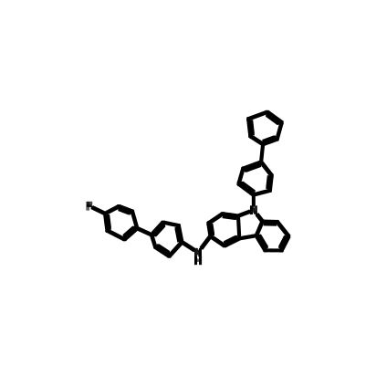 Fc1ccc(-c2ccc(Nc3ccc4c(c3)c3ccccc3n4-c3ccc(-c4ccccc4)cc3)cc2)cc1